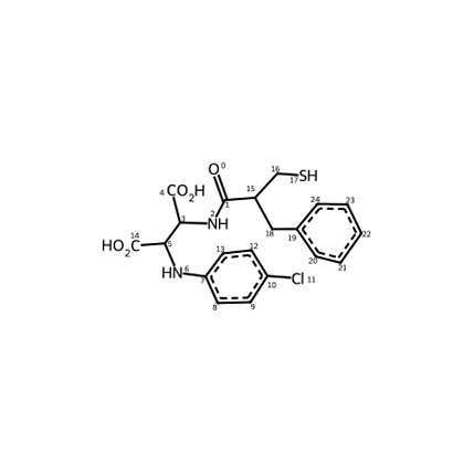 O=C(NC(C(=O)O)C(Nc1ccc(Cl)cc1)C(=O)O)C(CS)Cc1ccccc1